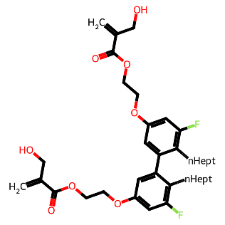 C=C(CO)C(=O)OCCOc1cc(F)c(CCCCCCC)c(-c2cc(OCCOC(=O)C(=C)CO)cc(F)c2CCCCCCC)c1